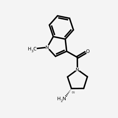 Cn1cc(C(=O)N2CC[C@H](N)C2)c2ccccc21